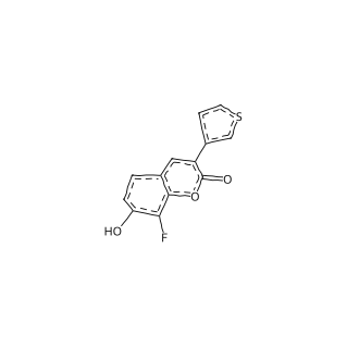 O=c1oc2c(F)c(O)ccc2cc1-c1ccsc1